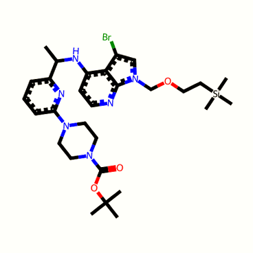 CC(Nc1ccnc2c1c(Br)cn2COCC[Si](C)(C)C)c1cccc(N2CCN(C(=O)OC(C)(C)C)CC2)n1